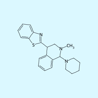 CN1CC(c2nc3ccccc3s2)c2ccccc2C1N1CCCCC1